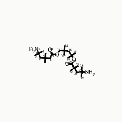 CC(C)(N)CC(C)(C)CC(=O)OCC(C)(C)CC(C)(C)OC(=O)C(C)(C)CC(C)(C)N